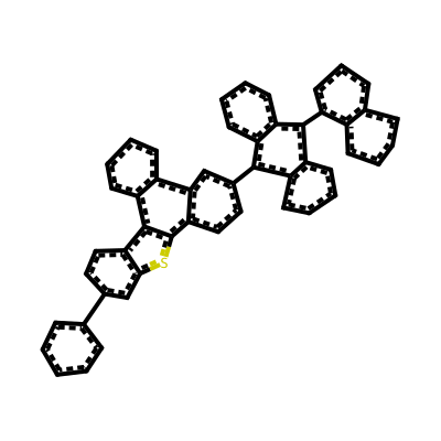 c1ccc(-c2ccc3c(c2)sc2c4ccc(-c5c6ccccc6c(-c6cccc7ccccc67)c6ccccc56)cc4c4ccccc4c32)cc1